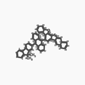 CC1(C)c2ccccc2-c2ccc(-c3c4ccccc4c(-c4cc5c6cc7ccccc7cc6sc5c5oc6ccccc6c45)c4ccccc34)cc21